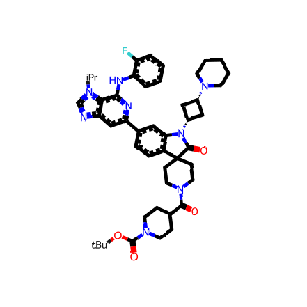 CC(C)n1cnc2cc(-c3ccc4c(c3)N([C@H]3C[C@@H](N5CCCCC5)C3)C(=O)C43CCN(C(=O)C4CCN(C(=O)OC(C)(C)C)CC4)CC3)nc(Nc3ccccc3F)c21